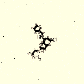 C[C@H](N)CNc1cc2nc(Cl)cc(NCc3cccs3)c2s1